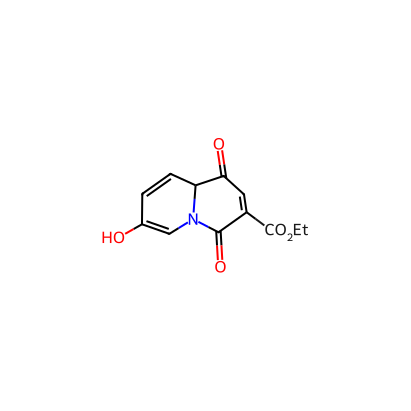 CCOC(=O)C1=CC(=O)C2C=CC(O)=CN2C1=O